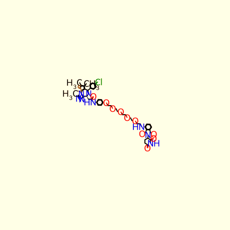 Cc1sc2c(c1C)C(c1ccc(Cl)cc1)=N[C@@H](CC(=O)Nc1ccc(OCCOCCOCCOCCOCCNc3cccc4c3C(=O)N(C3CCC(=O)NC3=O)C4=O)cc1)c1nnc(C)n1-2